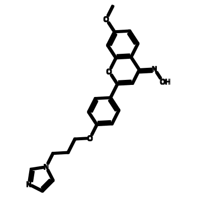 COc1ccc2/c(=N/O)cc(-c3ccc(OCCCn4ccnc4)cc3)oc2c1